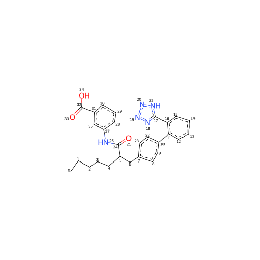 CCCCCC(Cc1ccc(-c2ccccc2-c2nnn[nH]2)cc1)C(=O)Nc1cccc(C(=O)O)c1